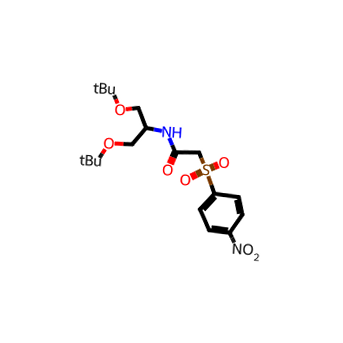 CC(C)(C)OCC(COC(C)(C)C)NC(=O)CS(=O)(=O)c1ccc([N+](=O)[O-])cc1